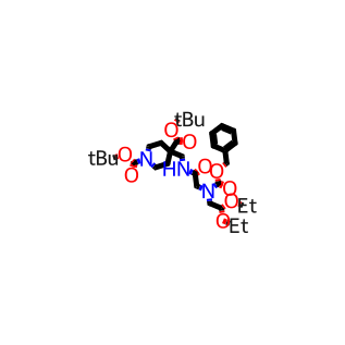 CCOC(CN(CC(=O)NCC1(C(=O)OC(C)(C)C)CCN(C(=O)OC(C)(C)C)CC1)C(=O)OCc1ccccc1)OCC